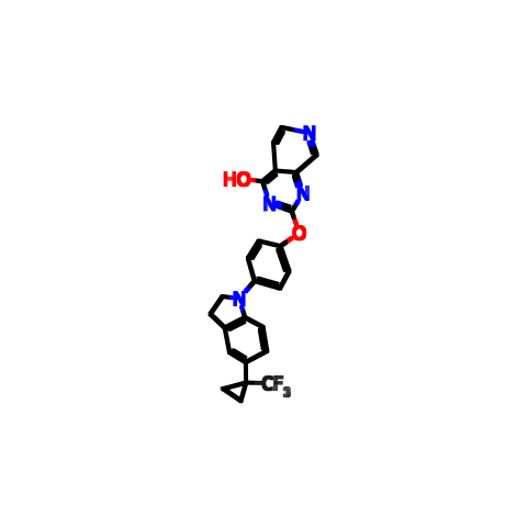 Oc1nc(Oc2ccc(N3CCc4cc(C5(C(F)(F)F)CC5)ccc43)cc2)nc2cnccc12